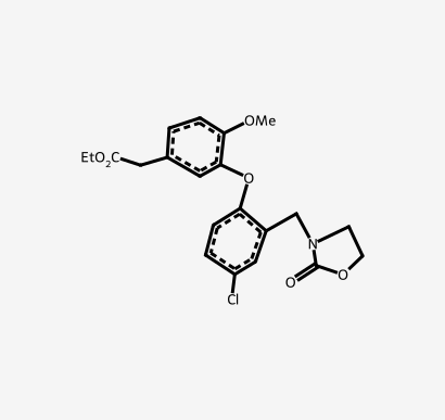 CCOC(=O)Cc1ccc(OC)c(Oc2ccc(Cl)cc2CN2CCOC2=O)c1